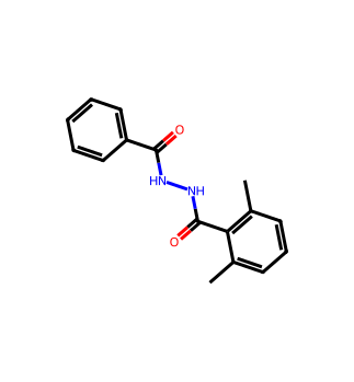 Cc1cccc(C)c1C(=O)NNC(=O)c1ccccc1